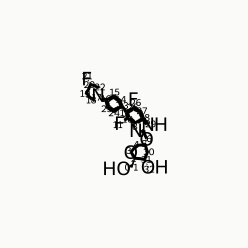 OC[C@H]1OC[C@H](Oc2nc3c(F)c(-c4ccc(N5CC[C@H](F)C5)cc4)c(F)cc3[nH]2)C[C@@H]1O